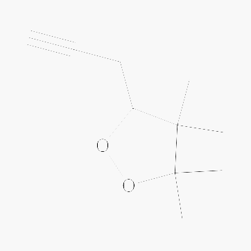 C#CCC1OOC(C)(C)C1(C)C